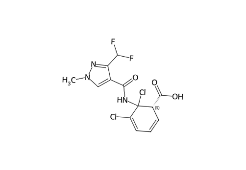 Cn1cc(C(=O)NC2(Cl)C(Cl)=CC=C[C@H]2C(=O)O)c(C(F)F)n1